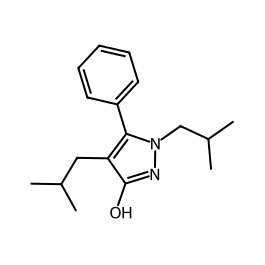 CC(C)Cc1c(O)nn(CC(C)C)c1-c1ccccc1